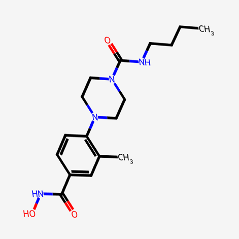 CCCCNC(=O)N1CCN(c2ccc(C(=O)NO)cc2C)CC1